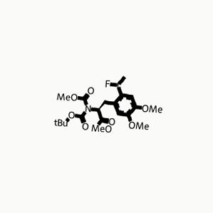 COC(=O)[C@H](Cc1cc(OC)c(OC)cc1I(C)F)N(C(=O)OC)C(=O)OC(C)(C)C